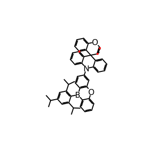 CC(C)c1cc(C(C)C)c(B2c3ccccc3Oc3cc(N4c5ccccc5C5(c6ccccc6Oc6ccccc65)c5ccccc54)ccc32)c(C(C)C)c1